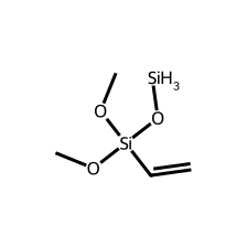 C=C[Si](OC)(OC)O[SiH3]